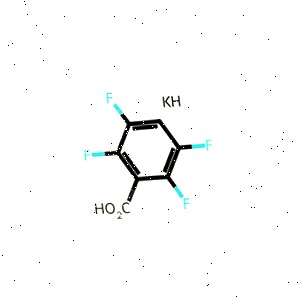 O=C(O)c1c(F)c(F)cc(F)c1F.[KH]